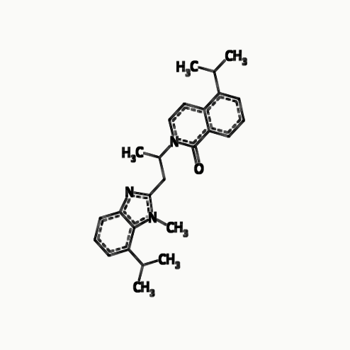 CC(C)c1cccc2c(=O)n(C(C)Cc3nc4cccc(C(C)C)c4n3C)ccc12